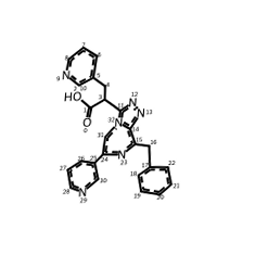 O=C(O)C(Cc1cccnc1)c1nnc2c(Cc3ccccc3)nc(-c3cccnc3)cn12